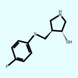 O[C@H]1CNC[C@@H]1CSc1ccc(F)cc1